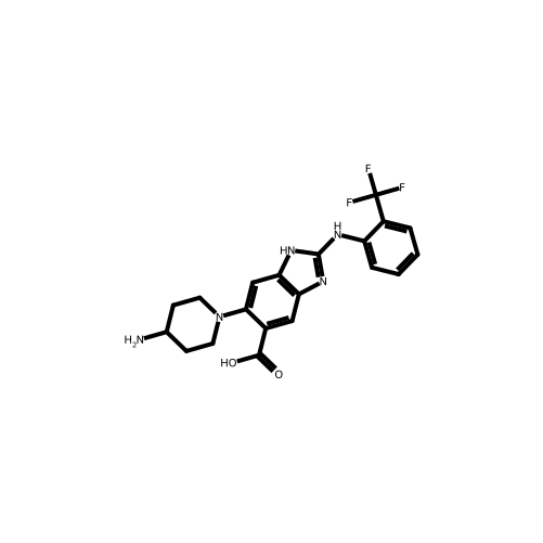 NC1CCN(c2cc3[nH]c(Nc4ccccc4C(F)(F)F)nc3cc2C(=O)O)CC1